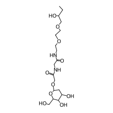 CCC(O)COCCOCCNC(=O)CNC(=O)COC1CC(O)C(O)C(CO)O1